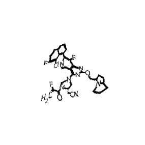 C=C(F)C(=O)N1CCN(c2nc(OCC3CCC4CCCN43)nc3c(F)c(-c4cccc5ccc(F)c(Cl)c45)ncc23)C[C@@H]1CC#N